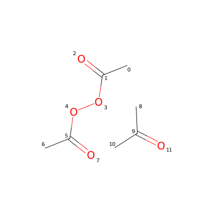 CC(=O)OOC(C)=O.CC(C)=O